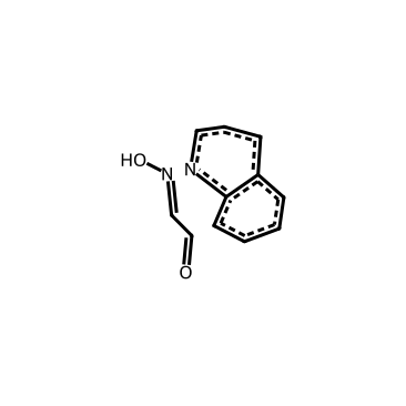 O=CC=NO.c1ccc2ncccc2c1